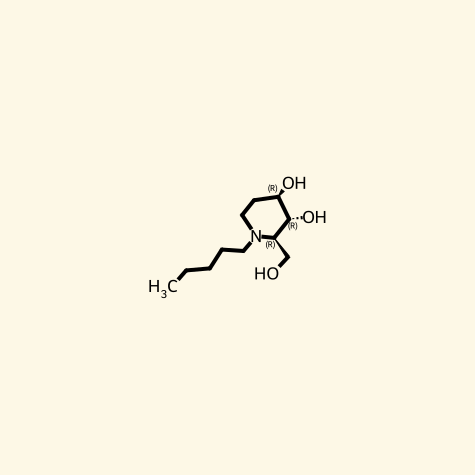 CCCCCN1CC[C@@H](O)[C@H](O)[C@H]1CO